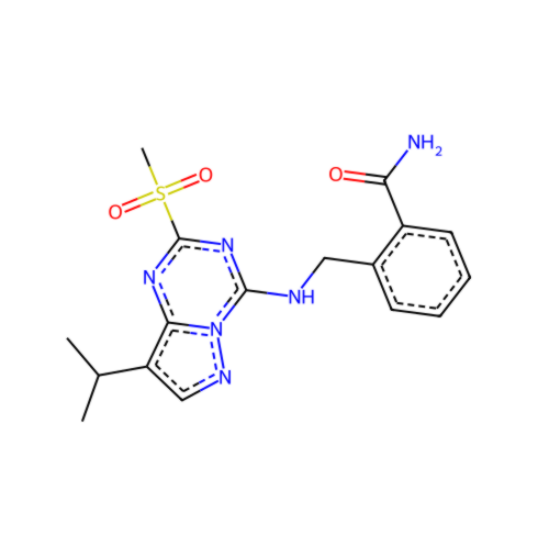 CC(C)c1cnn2c(NCc3ccccc3C(N)=O)nc(S(C)(=O)=O)nc12